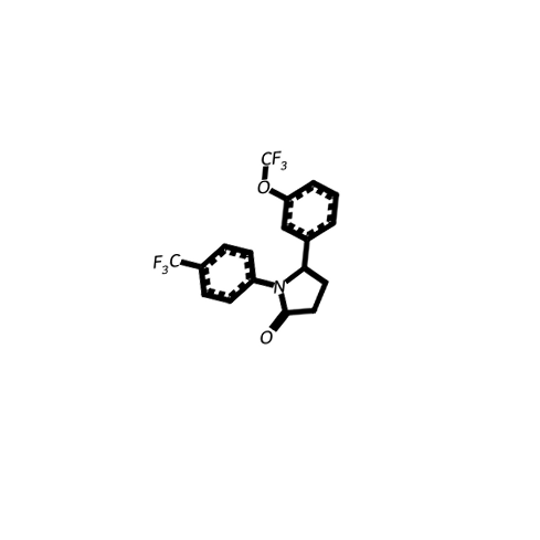 O=C1CCC(c2cccc(OC(F)(F)F)c2)N1c1ccc(C(F)(F)F)cc1